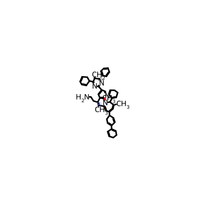 C=C1C(C2C=CC=CC2)=NC(c2cncc(/C(CCN)=C(/C)C3=CC(C4C=CC(C5=CCCC=C5)=CC4)=C=C(C)C(C4=CCCC=C4)N3C)c2)=N[C@H]1c1ccccc1